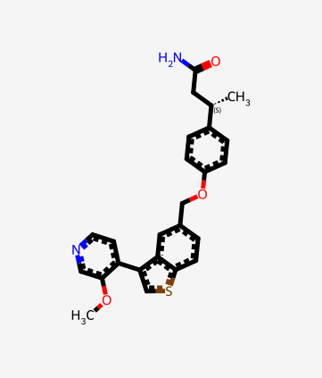 COc1cnccc1-c1csc2ccc(COc3ccc([C@@H](C)CC(N)=O)cc3)cc12